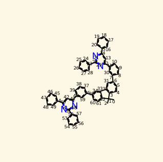 CC1(C)c2ccc(-c3cccc(-c4cc(-c5ccccc5)nc(-c5ccccc5)n4)c3)cc2-c2cc(-c3cccc(-c4cc(-c5ccccc5)nc(-c5ccccc5)n4)c3)ccc21